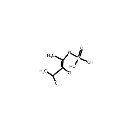 CC(OP(=O)(O)O)=C(Cl)C(C)C